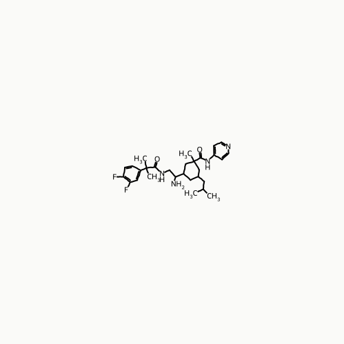 CC(C)CC1CC(C(N)CNC(=O)C(C)(C)c2ccc(F)c(F)c2)CC(C)(C(=O)Nc2ccncc2)C1